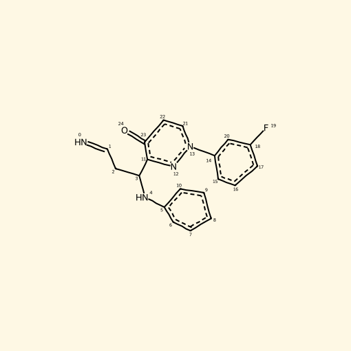 N=CCC(Nc1ccccc1)c1nn(-c2cccc(F)c2)ccc1=O